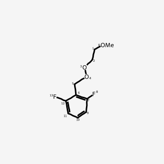 COCCOOCc1c(F)cccc1F